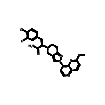 COc1ccc2nccc(-n3cc4c(n3)CCC(C(=Cc3ccc(Cl)c(Cl)c3)C(N)=O)C4)c2n1